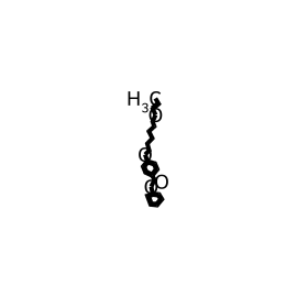 CC=COCCCCCCOc1ccc(C(=O)Oc2ccccc2)cc1